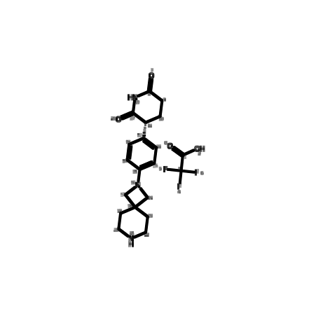 O=C(O)C(F)(F)F.O=C1CC[C@H](c2ccc(N3CC4(CCNCC4)C3)cc2)C(=O)N1